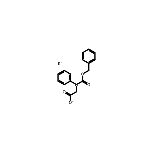 O=C([O-])CN(C(=O)OCc1ccccc1)c1ccccc1.[K+]